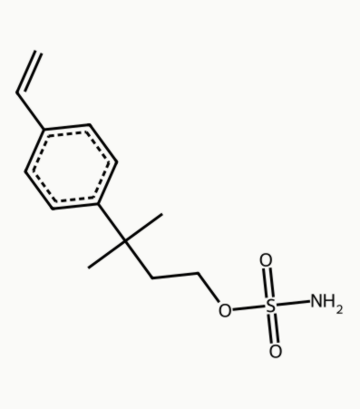 C=Cc1ccc(C(C)(C)CCOS(N)(=O)=O)cc1